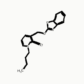 CCCCn1cccc(COc2nc3ccccc3o2)c1=O